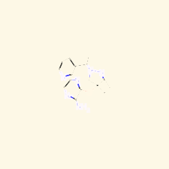 CC(c1cccnc1)N1CC2(Oc3nccnc3N)CCC2=N1